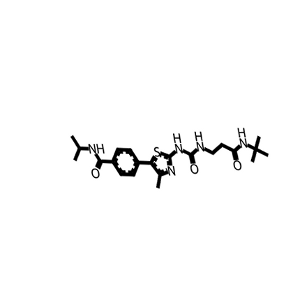 Cc1nc(NC(=O)NCCC(=O)NC(C)(C)C)sc1-c1ccc(C(=O)NC(C)C)cc1